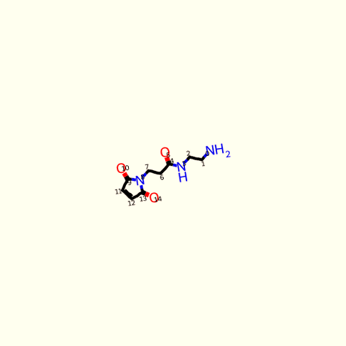 NCCNC(=O)CCN1C(=O)C=CC1=O